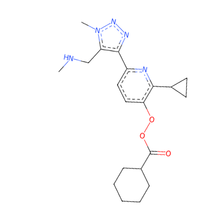 CNCc1c(-c2ccc(OOC(=O)C3CCCCC3)c(C3CC3)n2)nnn1C